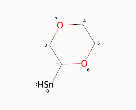 [SnH][CH]1COCCO1